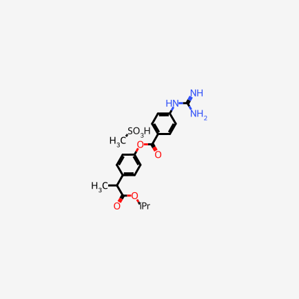 CC(C)OC(=O)C(C)c1ccc(OC(=O)c2ccc(NC(=N)N)cc2)cc1.CS(=O)(=O)O